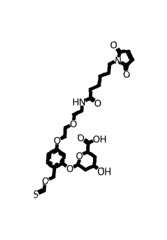 O=C(CCCCCN1C(=O)C=CC1=O)NCCOCCOc1ccc(COC=S)c(OC2CC(O)CC(C(=O)O)O2)c1